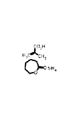 C=C(C)C(=O)O.O=C1CCCCCO1.[SiH4]